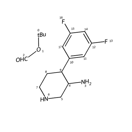 CC(C)(C)OC=O.NC1CNCCC1c1cc(F)cc(F)c1